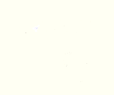 CC1(C)c2ccccc2-c2ccc(C(c3ccc4c5ccccc5c5ccccc5c4c3)c3cccc4c3-c3ccccc3C43c4ccccc4-n4c5ccccc5c5cccc3c54)cc21